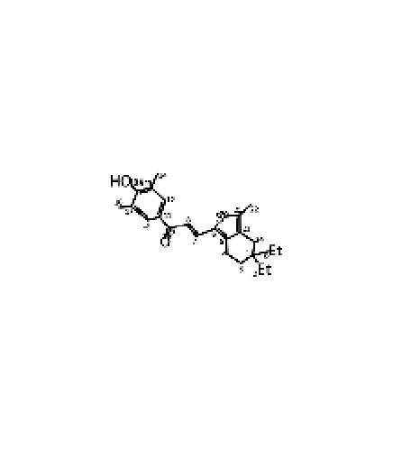 CCC1(CC)CCc2c(C=CC(=O)c3cc(C)c(O)c(C)c3)sc(C)c2C1